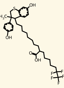 CC1(c2ccc(O)cc2)CSc2cc(O)ccc2C1CCCCCCCCC(CCCCCC(F)(F)C(F)(F)F)C(=O)O